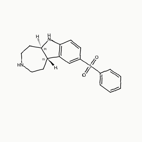 O=S(=O)(c1ccccc1)c1ccc2c(c1)[C@@H]1CCNCC[C@H]1N2